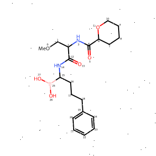 COCC(NC(=O)C1CCCCO1)C(=O)NC(CCCc1ccccc1)B(O)O